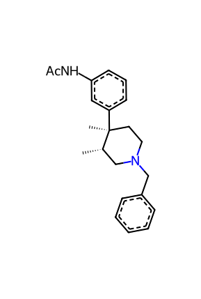 CC(=O)Nc1cccc([C@@]2(C)CCN(Cc3ccccc3)C[C@@H]2C)c1